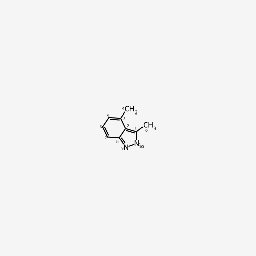 CC1=c2c(C)cccc2=N[N]1